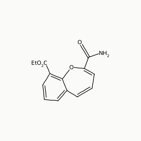 CCOC(=O)c1cccc2c1OC(C(N)=O)=CC=C2